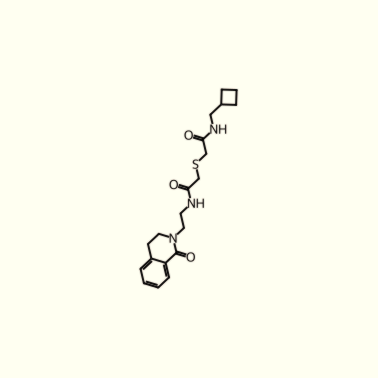 O=C(CSCC(=O)NCC1CCC1)NCCN1CCc2ccccc2C1=O